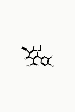 C#Cc1c(C)n(CC)c(-c2ccc(Cl)c(Cl)c2)c(C(=O)O)c1=O